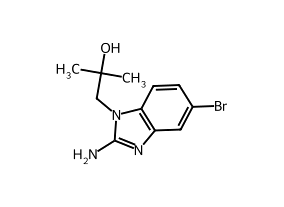 CC(C)(O)Cn1c(N)nc2cc(Br)ccc21